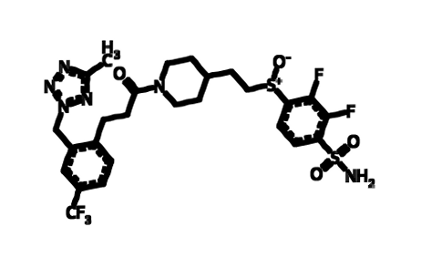 Cc1nnn(Cc2cc(C(F)(F)F)ccc2CCC(=O)N2CCC(CC[S+]([O-])c3ccc(S(N)(=O)=O)c(F)c3F)CC2)n1